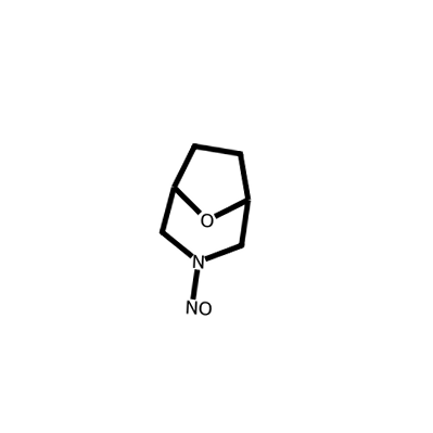 O=NN1CC2CCC(C1)O2